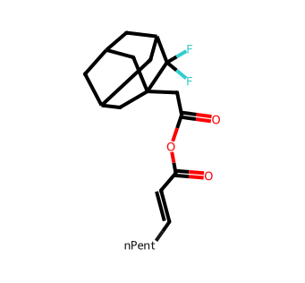 CCCCC/C=C/C(=O)OC(=O)CC12CC3CC(CC(C3)C1(F)F)C2